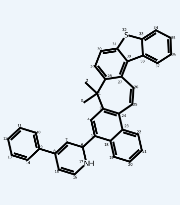 CC1(C)c2cc(C3C=C(c4ccccc4)C=CN3)c3ccccc3c2C=Cc2c1ccc1sc3ccccc3c21